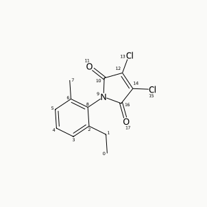 CCc1cccc(C)c1N1C(=O)C(Cl)=C(Cl)C1=O